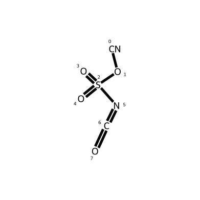 N#COS(=O)(=O)N=C=O